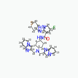 O=C(N[C@H]1CC[C@@H](N(Cc2cn3ccccc3n2)Cc2cn3ccccc3n2)CC1)c1cc(F)cnc1NC1CCSCC1